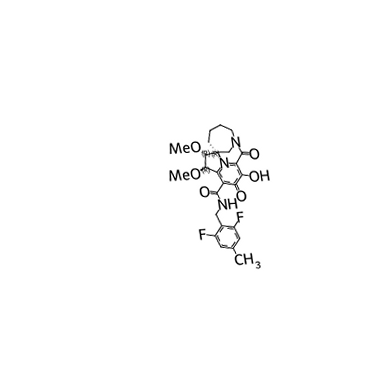 CO[C@@H]1c2c(C(=O)NCc3c(F)cc(C)cc3F)c(=O)c(O)c3n2[C@@]2(CCCCN(C2)C3=O)[C@H]1OC